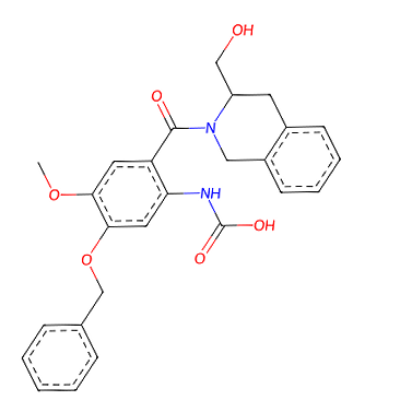 COc1cc(C(=O)N2Cc3ccccc3CC2CO)c(NC(=O)O)cc1OCc1ccccc1